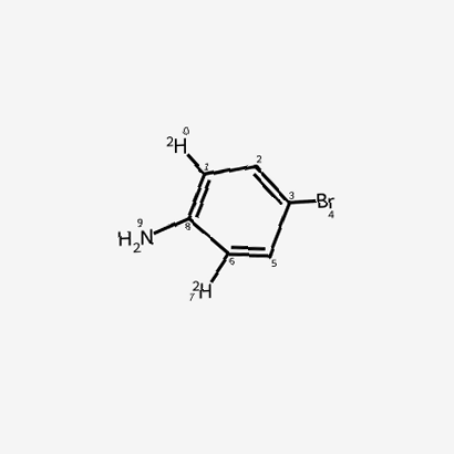 [2H]c1cc(Br)cc([2H])c1N